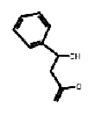 C=C(Cl)CC(O)c1ccccc1